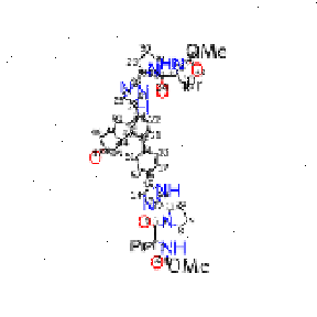 COC(=O)N[C@H](C(=O)N1CCC[C@H]1c1ncc(-c2ccc(-c3ccc(-c4cnc([C@@H]5CCCN5C(=O)[C@@H](NC(=O)OC)C(C)C)[nH]4)c4c3C3CC(=O)CC3C4)cc2)[nH]1)C(C)C